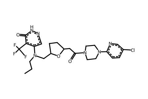 CCCN(CC1CCC(CC(=O)N2CCN(c3ccc(Cl)cn3)CC2)O1)c1cn[nH]c(=O)c1C(F)(F)F